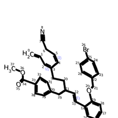 C=C/C=C(\C=C/CC#N)CCC(/C=C/c1ccccc1OCc1ccc(Br)cc1)Cc1ccc(C(=O)OC)cc1